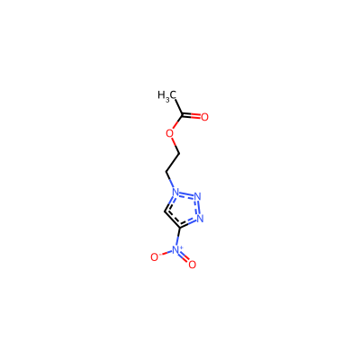 CC(=O)OCCn1cc([N+](=O)[O-])nn1